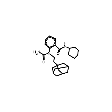 NC(=O)N(CCC12CC3CC(CC(C3)C1)C2)c1ccccc1C(=O)NC1CCCCC1